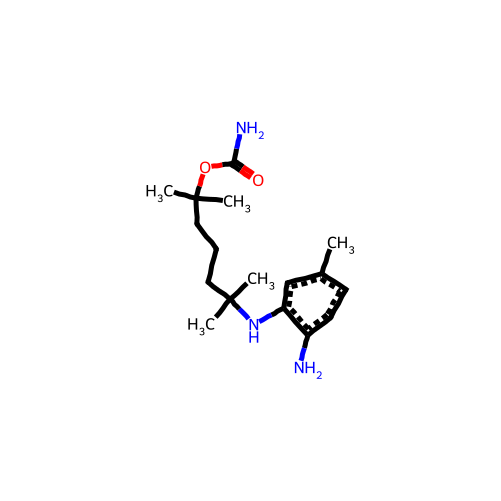 Cc1ccc(N)c(NC(C)(C)CCCC(C)(C)OC(N)=O)c1